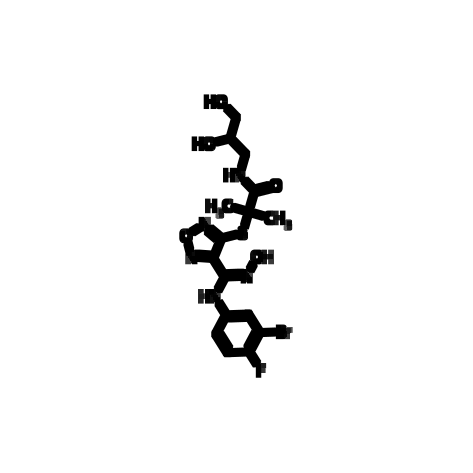 CC(C)(Sc1nonc1C(=NO)Nc1ccc(F)c(Br)c1)C(=O)NCC(O)CO